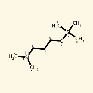 C[SiH](C)CC[CH]O[Si](C)(C)C